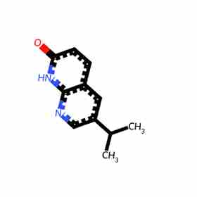 CC(C)c1cnc2[nH]c(=O)ccc2c1